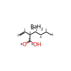 C=CC(CCCC)C(=O)O.[BaH2]